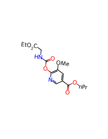 CCCOC(=O)c1cnc(OC(=O)NCC(=O)OCC)c(OC)c1